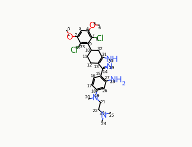 COc1cc(OC)c(Cl)c(C2CCc3c(-c4ccc(N(C)CCN(C)C)cc4N)n[nH]c3C2)c1Cl